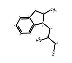 CC1Cc2ccccc2N1CC(O)CCl